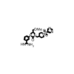 COCC1CN(CC2CCN(S(=O)(=O)c3cncnc3)CC2)C(=O)N(c2cccc(C(=N)N)c2)C1